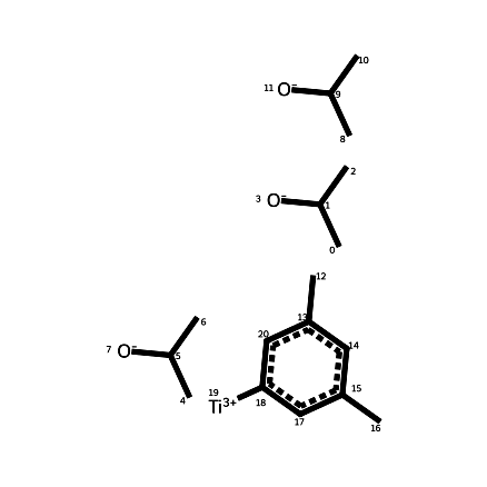 CC(C)[O-].CC(C)[O-].CC(C)[O-].Cc1cc(C)c[c]([Ti+3])c1